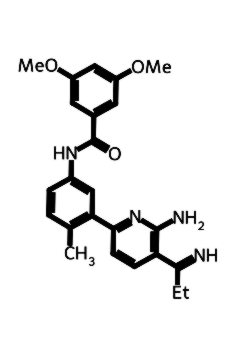 CCC(=N)c1ccc(-c2cc(NC(=O)c3cc(OC)cc(OC)c3)ccc2C)nc1N